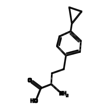 NC(CCc1ccc(C2CC2)cc1)C(=O)O